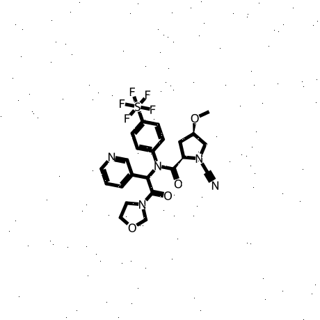 CO[C@@H]1C[C@H](C(=O)N(c2ccc(S(F)(F)(F)(F)F)cc2)C(C(=O)N2CCOC2)c2cccnc2)N(C#N)C1